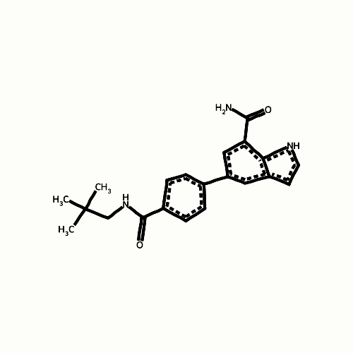 CC(C)(C)CNC(=O)c1ccc(-c2cc(C(N)=O)c3[nH]ccc3c2)cc1